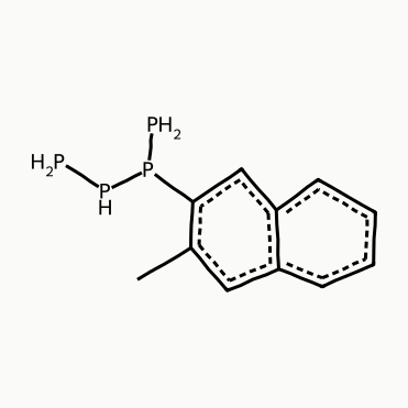 Cc1cc2ccccc2cc1P(P)PP